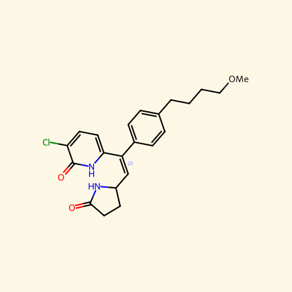 COCCCCc1ccc(/C(=C/C2CCC(=O)N2)c2ccc(Cl)c(=O)[nH]2)cc1